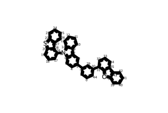 c1cc(-c2ccc3c(c2)c2ccccc2n3-c2cccc3sc4ccccc4c23)cc(-c2cccc3c2oc2ccccc23)c1